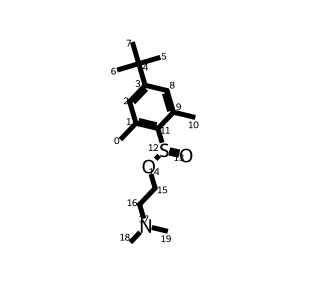 Cc1cc(C(C)(C)C)cc(C)c1S(=O)OCCN(C)C